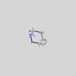 NCC(=O)O.[CH3][Sn][CH3]